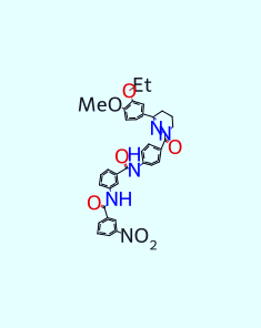 CCOc1cc(C2=NN(C(=O)c3ccc(NC(=O)c4cccc(NC(=O)c5cccc([N+](=O)[O-])c5)c4)cc3)CCC2)ccc1OC